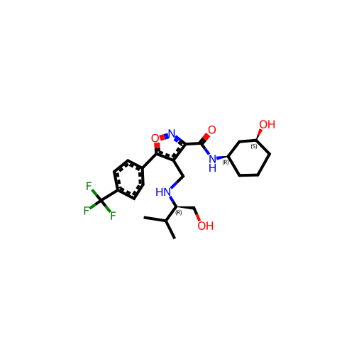 CC(C)[C@H](CO)NCc1c(C(=O)N[C@@H]2CCC[C@H](O)C2)noc1-c1ccc(C(F)(F)F)cc1